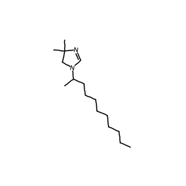 CCCCCCCCCC(C)N1C=NC(C)(C)C1